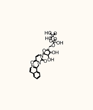 O=c1ccn([C@@H]2O[C@H](COP(=O)(O)OP(=O)(O)O)[C@H](O)C2O)c(=O)n1Cc1nccc2ccccc12